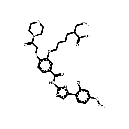 CCC(CCCCOc1cc(C(=O)Nc2nc(-c3ccc(OC)cc3Cl)cs2)ccc1OCC(=O)N1CCOCC1)C(=O)O